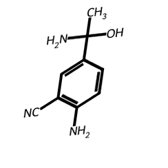 CC(N)(O)c1ccc(N)c(C#N)c1